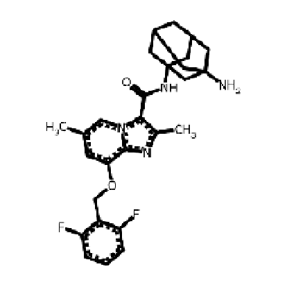 Cc1cc(OCc2c(F)cccc2F)c2nc(C)c(C(=O)NC34CC5CC(CC(N)(C5)C3)C4)n2c1